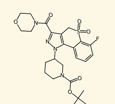 CC(C)(C)OC(=O)N1CCCC(n2nc(C(=O)N3CCOCC3)c3c2-c2cccc(F)c2S(=O)(=O)C3)C1